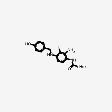 CCCCCCC(=O)Nc1ccc(NCc2ccc(O)cc2)c(F)c1N